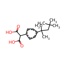 CC(C)(C)CC(C)(C)c1ccc(C(C(=O)O)C(=O)O)cc1